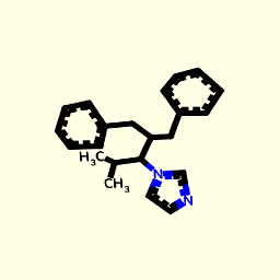 CC(C)C(C(Cc1ccccc1)Cc1ccccc1)n1ccnc1